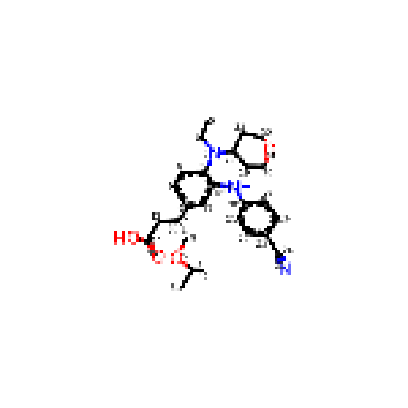 CCN(c1ccc([C@H](COC(C)C)CC(=O)O)cc1Nc1ccc(C#N)cc1)C1CCOCC1